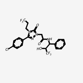 O=C(Cn1nc(-c2ccc(Cl)cc2)n(CCC(F)(F)F)c1=O)NC(c1ccccc1)C(O)C(F)(F)F